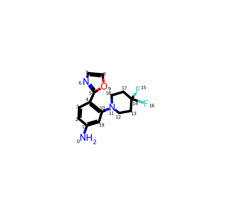 Nc1ccc(-c2ncco2)c(N2CCC(F)(F)CC2)c1